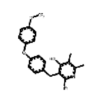 Cc1nc(C(C)C)c(Cc2ccc(Oc3ccc(OC(F)(F)F)cc3)cc2)c(O)c1C